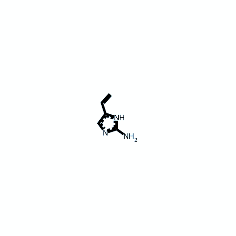 C=Cc1cnc(N)[nH]1